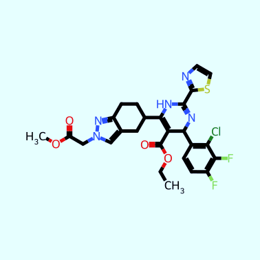 CCOC(=O)C1=C(C2CCc3nn(CC(=O)OC)cc3C2)NC(c2nccs2)=NC1c1ccc(F)c(F)c1Cl